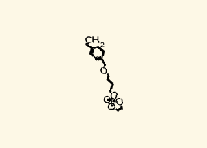 C=Cc1ccc(COCCCCOP2(=O)OCCO2)cc1